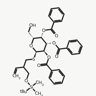 C=CC(CO[Si](C)(C)C(C)(C)C)CS[C@H]1O[C@H](CO)[C@H](OC(=O)c2ccccc2)[C@H](OC(=O)c2ccccc2)[C@H]1OC(=O)c1ccccc1